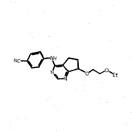 CCOCCOC1CCc2c(Nc3ccc(C#N)cc3)ncnc21